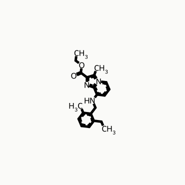 CCOC(=O)c1nc2c(NCc3c(C)cccc3CC)cccn2c1C